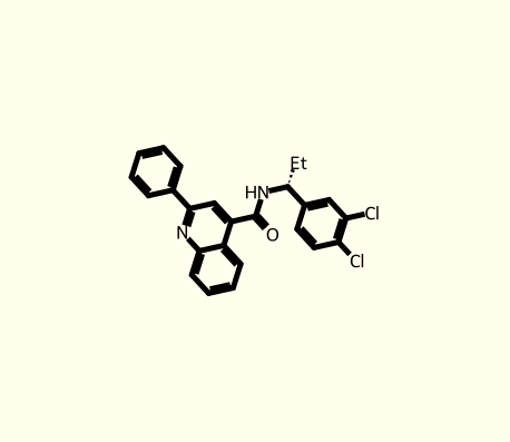 CC[C@@H](NC(=O)c1cc(-c2ccccc2)nc2ccccc12)c1ccc(Cl)c(Cl)c1